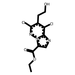 CCOC(=O)c1cnc2c(Cl)c(CCO)c(Cl)nn12